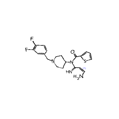 N=C(/C=C\N)N(C(=O)c1cccs1)C1CCN(Cc2ccc(F)c(F)c2)CC1